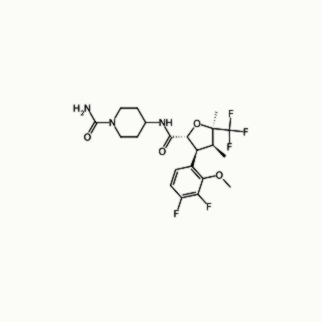 COc1c([C@H]2[C@H](C(=O)NC3CCN(C(N)=O)CC3)O[C@@](C)(C(F)(F)F)[C@H]2C)ccc(F)c1F